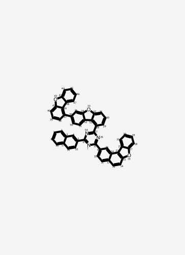 c1ccc2cc(-c3nc(-c4ccc5ccc6oc7ccccc7c6c5c4)nc(-c4cccc5oc6cc(-c7cccc8oc9ccccc9c78)ccc6c45)n3)ccc2c1